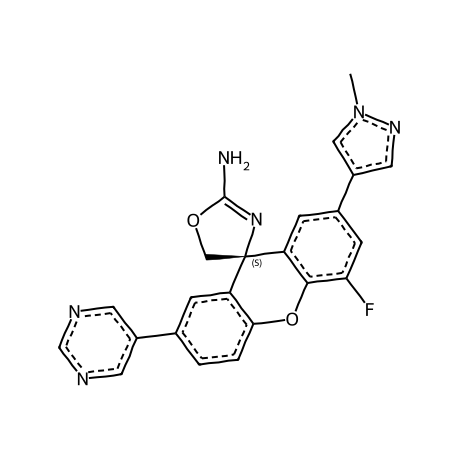 Cn1cc(-c2cc(F)c3c(c2)[C@]2(COC(N)=N2)c2cc(-c4cncnc4)ccc2O3)cn1